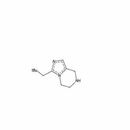 CC(C)(C)Cc1ncc2n1CCNC2